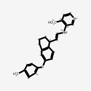 Cc1ccc(Sc2ccc3c(c2)CCCC3/C=C/Nc2cnccc2C(=O)O)cc1